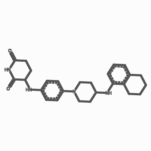 O=C1CCC(Nc2ccc(N3CCC(Nc4cccc5c4CCCC5)CC3)cc2)C(=O)N1